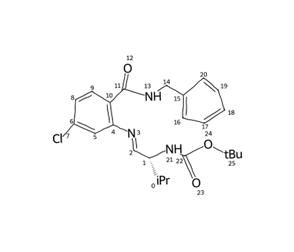 CC(C)[C@H](/C=N/c1cc(Cl)ccc1C(=O)NCc1ccccc1)NC(=O)OC(C)(C)C